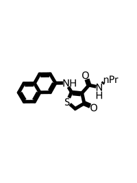 CCCNC(=O)C1=C(Nc2ccc3ccccc3c2)SCC1=O